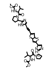 COC(=O)N[C@H](C(=O)N1CCCC1c1ncc(C#CC2=CC3SC(c4cnc([C@@H]5CCCN5C(=O)[C@@H](NC(=O)OC)C(C)C)[nH]4)=CC3S2)[nH]1)C(C)C